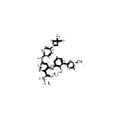 CNC(=O)c1nnc(Nc2ccc(N3CC(F)(F)C3)cn2)cc1Nc1cccc(-c2ncn(C)n2)c1OC